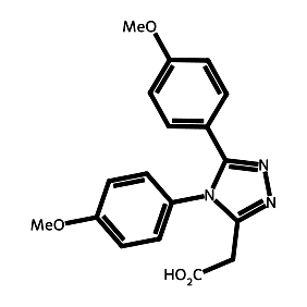 COc1ccc(-c2nnc(CC(=O)O)n2-c2ccc(OC)cc2)cc1